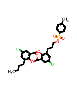 CCCCc1cc(Cl)cc2c1OC1OC2Oc2c(CCCOS(=O)(=O)c3ccc(C)cc3)cc(Cl)cc21